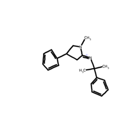 CN1CC(c2ccccc2)C/C1=N\C(C)(C)c1ccccc1